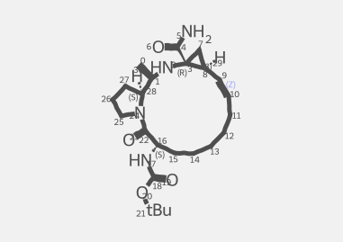 C=C1N[C@]2(C(N)=O)C[C@H]2/C=C\CCCCC[C@H](NC(=O)OC(C)(C)C)C(=O)N2CCC[C@@H]12